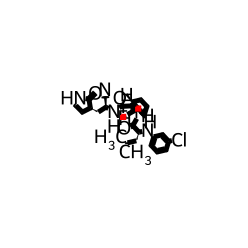 CC(C)C[C@@H](Nc1cccc(Cl)c1)C(=O)N1[C@H]2CC[C@@H]([C@@H]1C(=O)N[C@H](C#N)C[C@@H]1CCNC1=O)C(F)(F)C2